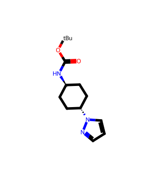 CC(C)(C)OC(=O)N[C@H]1CC[C@H](n2cccn2)CC1